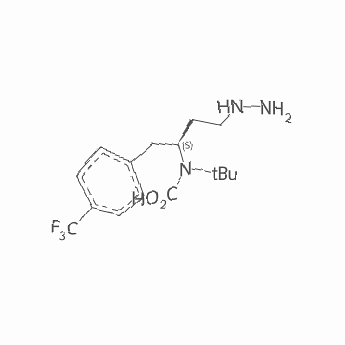 CC(C)(C)N(C(=O)O)[C@H](CCNN)Cc1ccc(C(F)(F)F)cc1